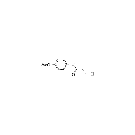 COc1ccc(OC(=O)CCCl)cc1